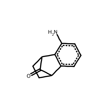 Nc1cccc2c1C1CCC2C1=O